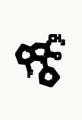 Cc1cc2cccc(F)c2n(-c2ccccc2)c1=O